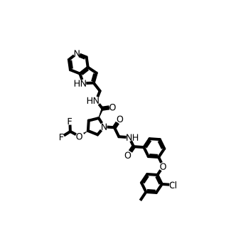 Cc1ccc(Oc2cccc(C(=O)NCC(=O)N3C[C@H](OC(F)F)C[C@H]3C(=O)NCc3cc4cnccc4[nH]3)c2)c(Cl)c1